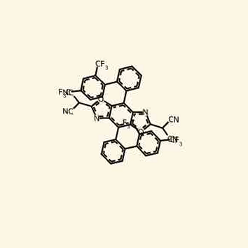 N#CC(C#N)c1nc2c(-c3ccccc3-c3ccc(C(F)(F)F)cc3C(F)(F)F)c3oc(C(C#N)C#N)nc3c(-c3ccccc3-c3ccc(C(F)(F)F)cc3C(F)(F)F)c2o1